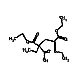 CCC=C(CC(CC)(C(=O)O)C(=O)OCC)C(=O)OCC